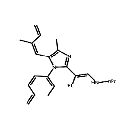 C=C/C=C\C(=C/C)n1c(/C(=C/NCCC)CC)nc(C)c1/C=C(/C)C=C